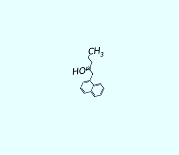 CCC[C@H](O)Cc1cccc2ccccc12